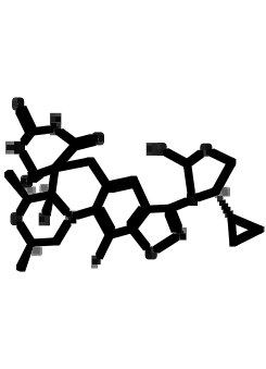 C[C@@H]1CN2c3c(cc4c(N5C(O)OC[C@@H]5C5CC5)noc4c3F)CC3(C(=O)NC(=O)NC3=O)[C@H]2[C@H](C)O1